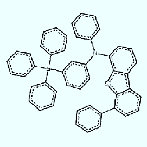 c1ccc(-c2cccc3c2sc2c(N(c4ccccc4)c4cccc([Si](c5ccccc5)(c5ccccc5)c5ccccc5)c4)cccc23)cc1